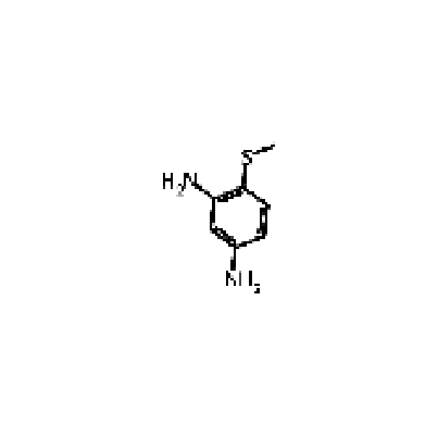 CSc1ccc(N)cc1N